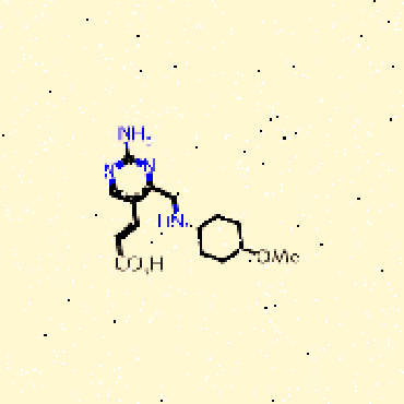 CO[C@H]1CC[C@H](NCc2nc(N)ncc2C=CC(=O)O)CC1